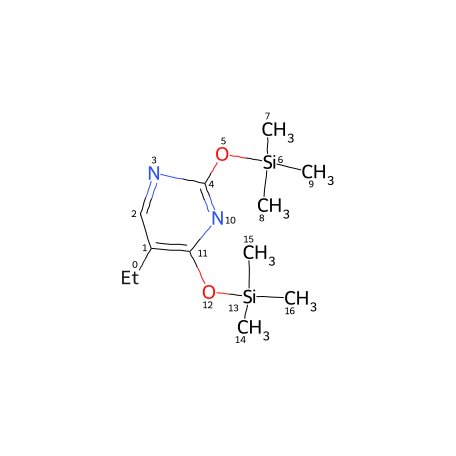 CCc1cnc(O[Si](C)(C)C)nc1O[Si](C)(C)C